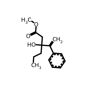 C=C(c1ccccc1)C(O)(CCC)CC(=O)OC